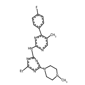 CCc1nc(Nc2ncc(C)c(-c3ccc(F)cc3)n2)nc(N2CCN(C)CC2)n1